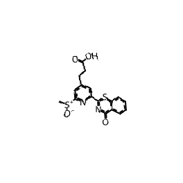 C[S+]([O-])c1cc(CCC(=O)O)cc(-c2nc(=O)c3ccccc3s2)n1